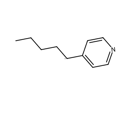 CCCC[CH]c1ccncc1